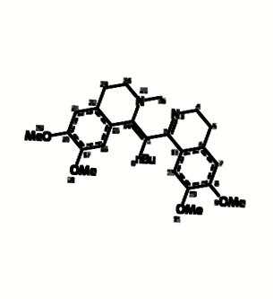 CCCCC(C1=NCCc2cc(OC)c(OC)cc21)=C1c2cc(OC)c(OC)cc2CCN1C